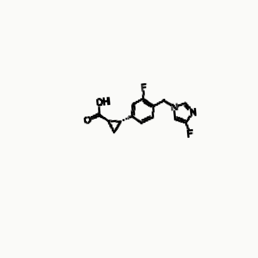 O=C(O)[C@@H]1C[C@H]1c1ccc(Cn2cnc(F)c2)c(F)c1